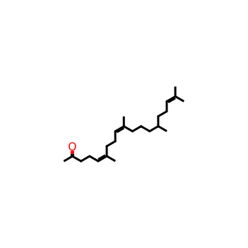 CC(=O)CCC=C(C)CCC=C(C)CCCC(C)CCC=C(C)C